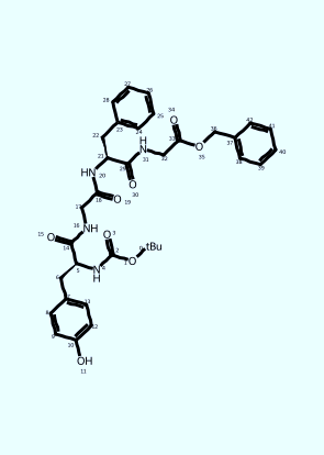 CC(C)(C)OC(=O)N[C@@H](Cc1ccc(O)cc1)C(=O)NCC(=O)N[C@@H](Cc1ccccc1)C(=O)NCC(=O)OCc1ccccc1